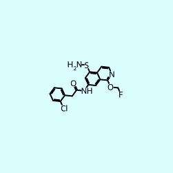 NSc1cc(NC(=O)Cc2ccccc2Cl)cc2c(OCF)nccc12